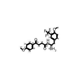 B[C@H](Cc1ccc(OC)c(C(F)(F)F)c1)NC(=O)CCC(=O)c1ccc(OC)cc1